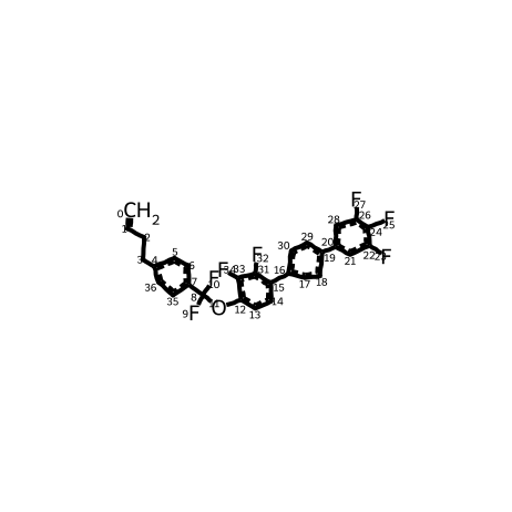 C=CCCc1ccc(C(F)(F)Oc2ccc(-c3ccc(-c4cc(F)c(F)c(F)c4)cc3)c(F)c2F)cc1